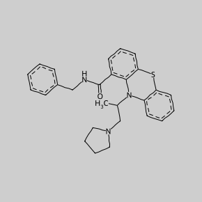 CC(CN1CCCC1)N1c2ccccc2Sc2cccc(C(=O)NCc3ccccc3)c21